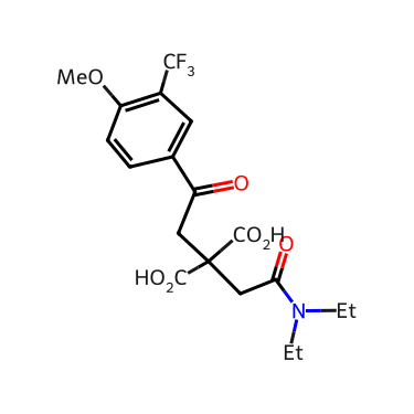 CCN(CC)C(=O)CC(CC(=O)c1ccc(OC)c(C(F)(F)F)c1)(C(=O)O)C(=O)O